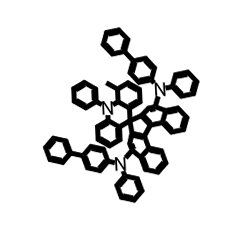 CC1C=CC=C2C1N(c1ccccc1)c1ccccc1C21c2cc(N(c3ccccc3)c3ccc(-c4ccccc4)cc3)c3ccccc3c2-c2c1cc(N(c1ccccc1)c1ccc(-c3ccccc3)cc1)c1ccccc21